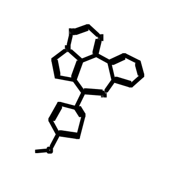 COc1ccc(C2=Nc3ccccc3-c3ncnn4ccc2c34)cc1